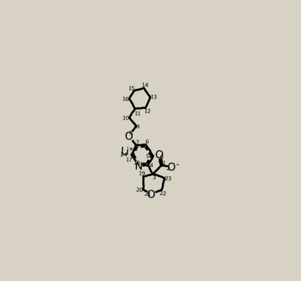 O=C([O-])C1(c2ccc(OCCC3CCCCC3)cn2)CCOCC1.[Li+]